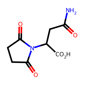 NC(=O)CC(C(=O)O)N1C(=O)CCC1=O